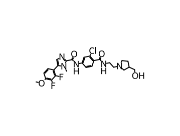 COc1ccc(-c2cnc(C(=O)Nc3ccc(C(=O)NCCN4CCC(CO)C4)c(Cl)c3)n2C)c(F)c1F